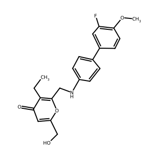 CCc1c(CNc2ccc(-c3ccc(OC)c(F)c3)cc2)oc(CO)cc1=O